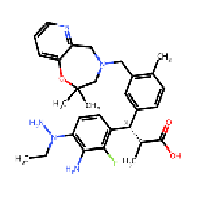 CCN(N)c1ccc([C@H](c2ccc(C)c(CN3Cc4ncccc4OC(C)(C)C3)c2)C(C)C(=O)O)c(F)c1N